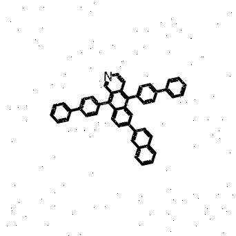 c1ccc(-c2ccc(-c3c4ccc(-c5ccc6ccccc6c5)cc4c(-c4ccc(-c5ccccc5)cc4)c4ccncc34)cc2)cc1